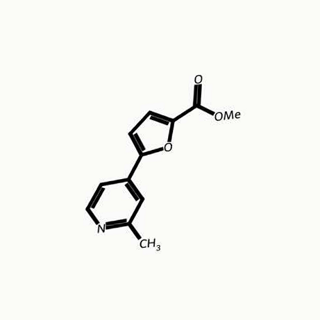 COC(=O)c1ccc(-c2ccnc(C)c2)o1